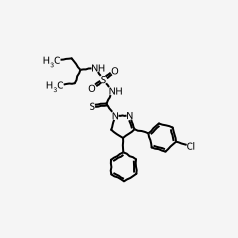 CCC(CC)NS(=O)(=O)NC(=S)N1CC(c2ccccc2)C(c2ccc(Cl)cc2)=N1